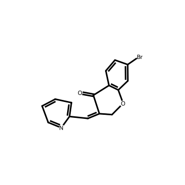 O=C1C(=Cc2ccccn2)COc2cc(Br)ccc21